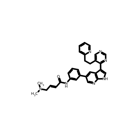 CN(C)C/C=C/C(=O)Nc1cccc(-c2cnc3[nH]cc(-c4ncncc4CCc4ccccn4)c3c2)c1